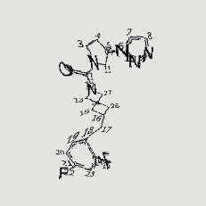 O=C(N1CC[C@@H](n2ccnn2)C1)N1CC2(CC(Cc3ccc(F)cc3F)C2)C1